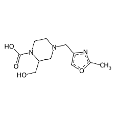 Cc1nc(CN2CCN(C(=O)O)C(CO)C2)co1